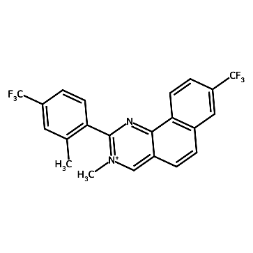 Cc1cc(C(F)(F)F)ccc1-c1nc2c(ccc3cc(C(F)(F)F)ccc32)c[n+]1C